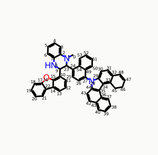 CN1c2ccccc2NC(c2cccc3c2oc2ccccc23)C1c1ccc(-n2c3ccc4c(c3c3c5ccccc5ccc32)CCC=C4)c2ccccc12